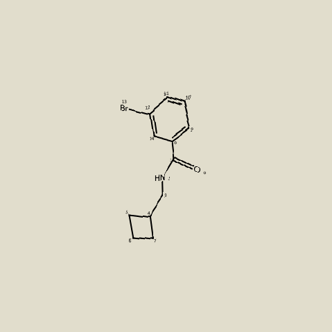 O=C(NCC1CCC1)c1cccc(Br)c1